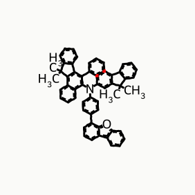 CC1(C)c2ccccc2-c2ccc(N(c3ccc(-c4cccc5c4oc4ccccc45)cc3)c3c(-c4ccccc4)c4c(c5ccccc35)C(C)(C)c3ccccc3-4)cc21